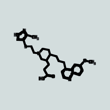 COc1ccc2nccc(CCCC3CCN(CCSc4c[nH]nc4C)CC3CCC(=O)O)c2c1